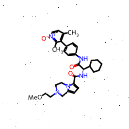 COCCN1CCn2c(ccc2C(=O)N[C@H](C(=O)Nc2ccc(-c3c(C)cc[n+]([O-])c3C)cc2)C2CCCCC2)C1